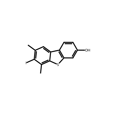 Cc1cc2c(sc3cc(O)ccc32)c(C)c1I